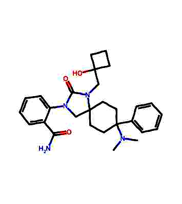 CN(C)C1(c2ccccc2)CCC2(CC1)CN(c1ccccc1C(N)=O)C(=O)N2CC1(O)CCC1